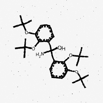 CC(C)(C)Oc1cccc(C(N)(O)c2cccc(OC(C)(C)C)c2OC(C)(C)C)c1OC(C)(C)C